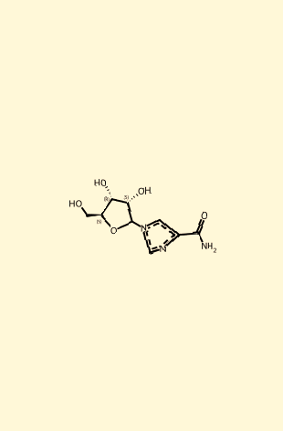 NC(=O)c1cn(C2O[C@@H](CO)[C@H](O)[C@@H]2O)cn1